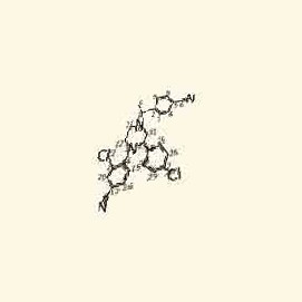 CC(c1ccc(C#N)cc1)N1CCN(c2ccc(C#N)cc2Cl)[C@H](c2ccc(Cl)cc2)C1